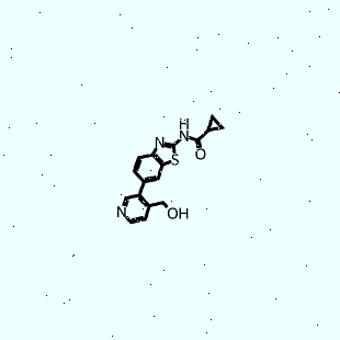 O=C(Nc1nc2ccc(-c3cnccc3CO)cc2s1)C1CC1